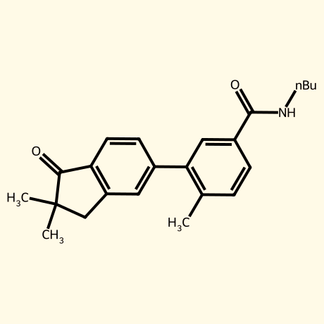 CCCCNC(=O)c1ccc(C)c(-c2ccc3c(c2)CC(C)(C)C3=O)c1